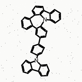 c1ccc2c(c1)-c1cc(-c3ccc(-n4c5ccccc5c5ccccc54)cc3)ccc1-n1c3ccccc3c3cccc-2c31